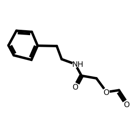 O=COCC(=O)NCCc1ccccc1